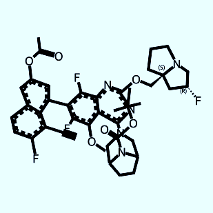 C#Cc1c(F)ccc2cc(OC(C)=O)cc(-c3c(F)c(OC)c4c(N5CC6CCC(C5)N6C(=O)OC(C)(C)C)nc(OC[C@@]56CCCN5C[C@H](F)C6)nc4c3F)c12